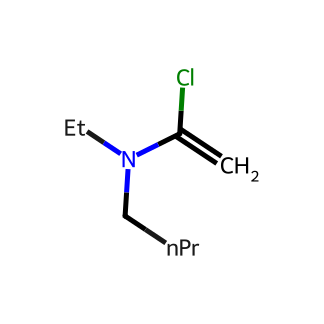 C=C(Cl)N(CC)CCCC